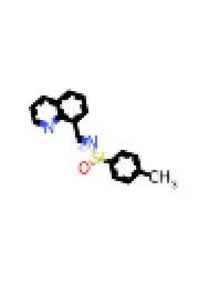 Cc1ccc([S+]([O-])/N=C/c2cccc3cccnc23)cc1